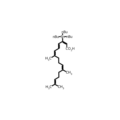 CCC[CH2][Sn]([CH2]CCC)([CH2]CCC)[C](C=CC=C(C)CCC=C(C)CCC=C(C)C)=CC(=O)O